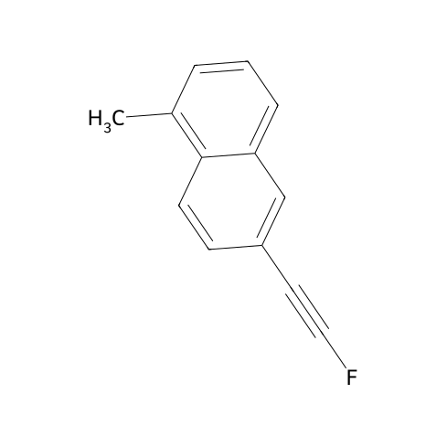 Cc1cccc2cc(C#CF)ccc12